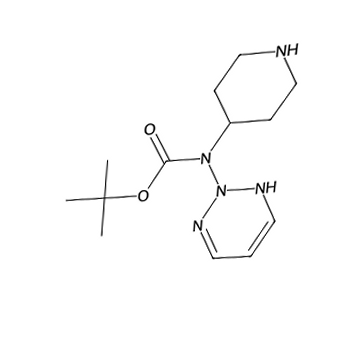 CC(C)(C)OC(=O)N(C1CCNCC1)N1N=CC=CN1